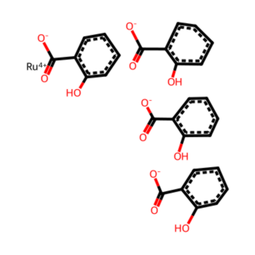 O=C([O-])c1ccccc1O.O=C([O-])c1ccccc1O.O=C([O-])c1ccccc1O.O=C([O-])c1ccccc1O.[Ru+4]